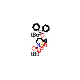 CC(C)(C)OC(=O)N1CCC(O[Si](c2ccccc2)(c2ccccc2)C(C)(C)C)C2(CC2)S1(=O)=O